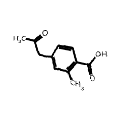 CC(=O)Cc1ccc(C(=O)O)c(C)c1